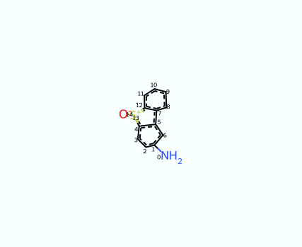 Nc1ccc2c(c1)c1ccccc1[s+]2[O-]